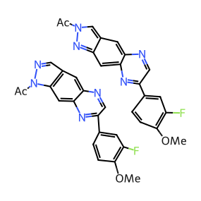 COc1ccc(-c2cnc3cc4cn(C(C)=O)nc4cc3n2)cc1F.COc1ccc(-c2cnc3cc4cnn(C(C)=O)c4cc3n2)cc1F